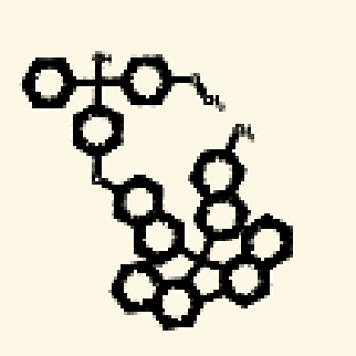 COc1ccc(C(O)(c2ccccc2)c2ccc(Oc3ccc4cc(C5(c6ccc7cc(C)ccc7c6)c6c(ccc7ccccc67)-c6ccc7ccccc7c65)ccc4c3)cc2)cc1